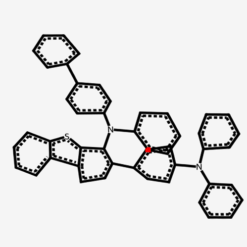 c1ccc(-c2ccc(N(c3ccccc3)c3c(-c4ccc(N(c5ccccc5)c5ccccc5)cc4)ccc4c3sc3ccccc34)cc2)cc1